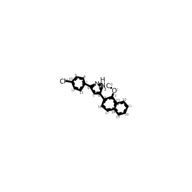 COc1c(-c2cc(-c3ccc(Cl)cc3)n[nH]2)ccc2ccccc12